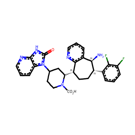 N[C@@H]1c2cccnc2[C@@H](C2CC(n3c(=O)[nH]c4ncccc43)CCN2C(=O)O)CC[C@H]1c1cccc(F)c1F